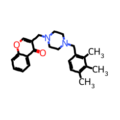 Cc1ccc(CN2CCN(Cc3coc4ccccc4c3=O)CC2)c(C)c1C